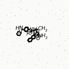 Cc1cc(C(=O)Nc2ccc(C(=N)N3CCCCC3)cc2F)n(-c2cc3ccccc3cc2S(N)(=O)=O)n1